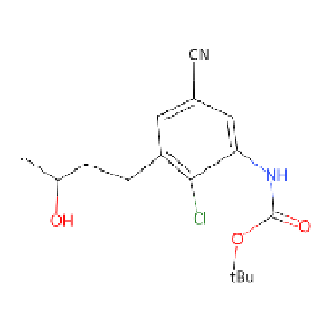 [CH2]C(O)CCc1cc(C#N)cc(NC(=O)OC(C)(C)C)c1Cl